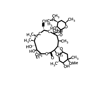 C#C[C@H]1CN(C)[C@H](C)[C@@H](O)[C@](C)(O)[C@@H](CC)OC(=O)[C@H](C)[C@@H](O[C@H]2C[C@@](C)(OC)[C@@H](O)[C@H](C)O2)[C@H](C)[C@@H](O[C@@H]2O[C@H](C)C[C@H](N(C)C)[C@H]2O)[C@](C)(O)C1